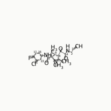 C#CCNC(=O)C(=O)c1c(C)c(C(=O)Nc2ccc(F)c(Cl)c2)n(C)c1C